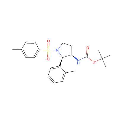 Cc1ccc(S(=O)(=O)N2CC[C@@H](NC(=O)OC(C)(C)C)[C@H]2c2ccccc2C)cc1